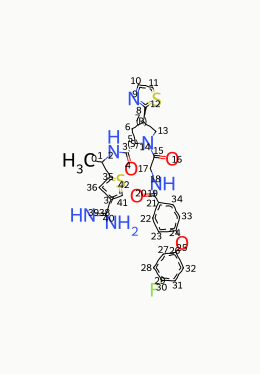 CC(NC(=O)[C@@H]1C[C@@H](c2nccs2)CN1C(=O)CNC(=O)c1ccc(Oc2ccc(F)cc2)cc1)c1cc(C(=N)N)cs1